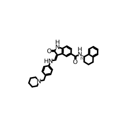 O=C1Nc2ccc(C(=O)N[C@H]3CCCc4ccccc43)cc2C1=CNc1ccc(CN2CCCCC2)cc1